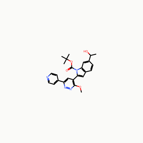 COc1nnc(-c2ccncc2)cc1-c1cc2ccc(C(C)O)cc2n1C(=O)OC(C)(C)C